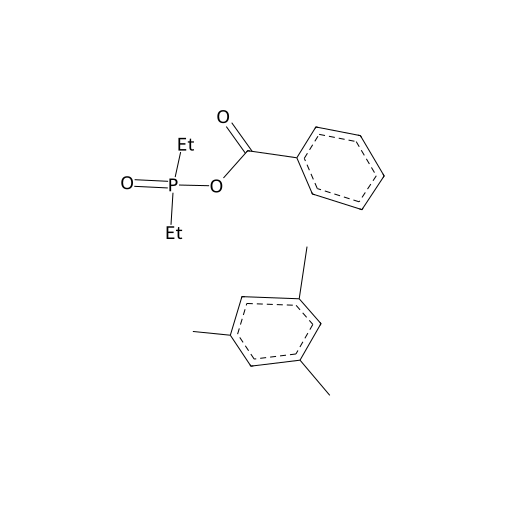 CCP(=O)(CC)OC(=O)c1ccccc1.Cc1cc(C)cc(C)c1